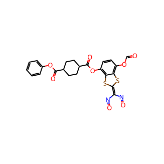 O=COc1ccc(OC(=O)C2CCC(C(=O)Oc3ccccc3)CC2)c2c1SC(=C(N=O)N=O)S2